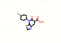 O=C(O)c1cc2ncsc2n(-c2ccc(F)cc2)c1=O